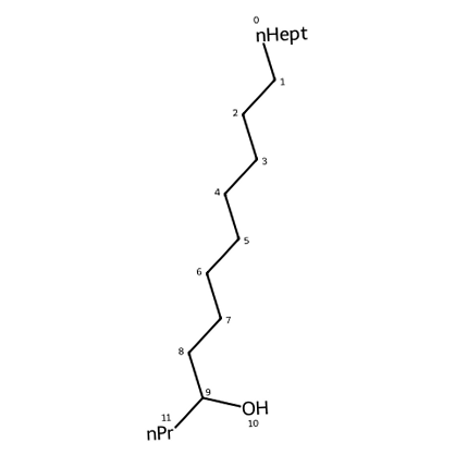 CCCCCCCCCCCCCCCC(O)CCC